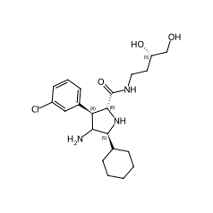 NC1[C@H](C2CCCCC2)N[C@@H](C(=O)NCC[C@H](O)CO)[C@@H]1c1cccc(Cl)c1